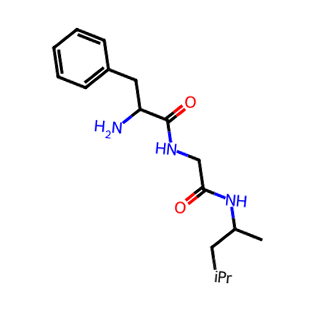 CC(C)CC(C)NC(=O)CNC(=O)C(N)Cc1ccccc1